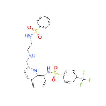 O=S(=O)(NCCNCc1ccc2cccc(NS(=O)(=O)c3ccc(C(F)(F)F)cc3)c2n1)c1ccccc1